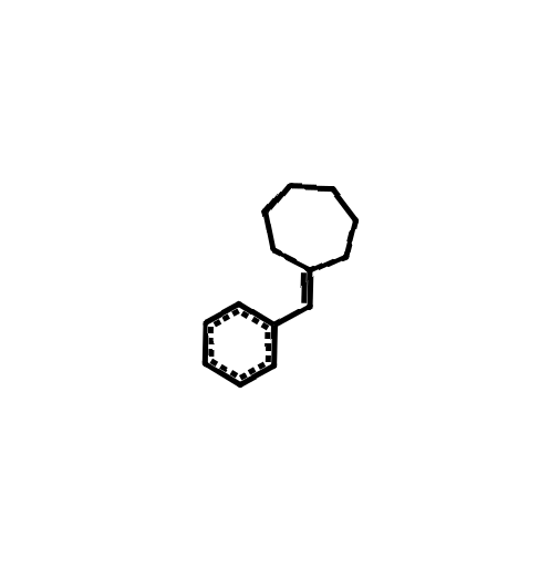 C(=C1CCCCCC1)c1ccccc1